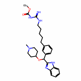 CN1CCC(OC(c2cccc(CCCCCNC(=N)NC(=O)OC(C)(C)C)c2)c2nc3ccccc3[nH]2)CC1